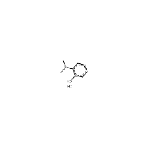 CN(C)c1ccccc1O.Cl